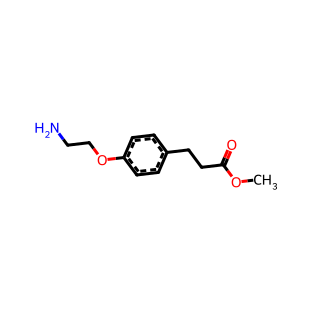 COC(=O)CCc1ccc(OCCN)cc1